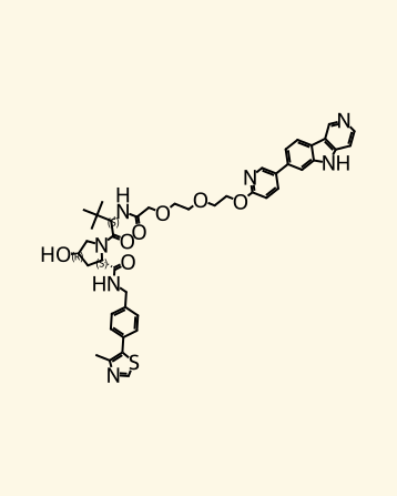 Cc1ncsc1-c1ccc(CNC(=O)[C@@H]2C[C@@H](O)CN2C(=O)[C@@H](NC(=O)COCCOCCOc2ccc(-c3ccc4c(c3)[nH]c3ccncc34)cn2)C(C)(C)C)cc1